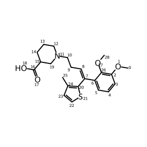 COc1cccc(C(=CCCN2CCCC(C(=O)O)C2)c2sccc2C)c1OC